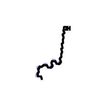 CC/C=C\C/C=C\C/C=C\C/C=C\C/C=C\C/C=C\CCCCCCCCCCCCCO